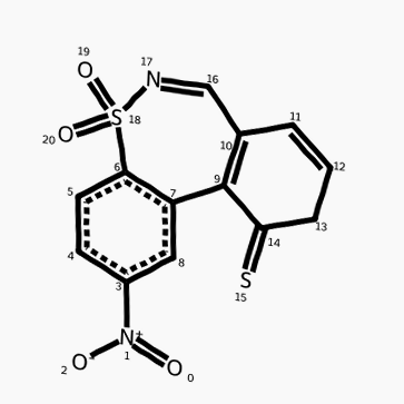 O=[N+]([O-])c1ccc2c(c1)C1=C(C=CCC1=S)C=NS2(=O)=O